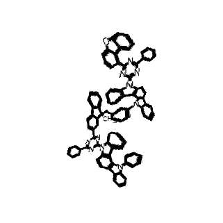 CC1(Cc2cccc(-n3c4ccccc4c4ccc5c(c6ccccc6n5-c5nc(-c6ccccc6)nc(-c6cccc7oc8ccccc8c67)n5)c43)c2)c2ccccc2-c2ccc(-c3nc(-c4ccccc4)nc(-n4c5ccccc5c5c4ccc4c6ccccc6n(-c6ccccc6)c45)n3)cc21